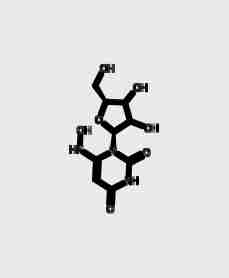 O=c1cc(NO)n([C@H]2O[C@@H](CO)C(O)C2O)c(=O)[nH]1